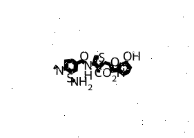 C=Nc1ccc(C(=O)Nc2csc(-c3cc4cccc(O)c4o3)c2C(=O)O)cc1SN